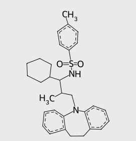 Cc1ccc(S(=O)(=O)NC(C(C)CN2c3ccccc3CCc3ccccc32)C2CCCCC2)cc1